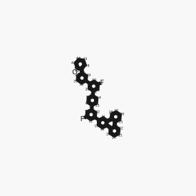 Fc1cc(-c2ccc(-c3cc(F)cc(-c4ccc5c6ccccc6c6ccccc6c5c4)c3)cc2)cc(-c2ccc3oc4ccccc4c3c2)c1